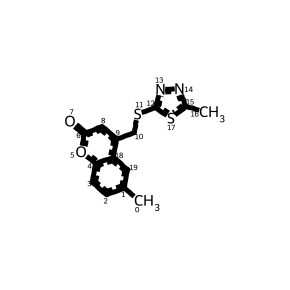 Cc1ccc2oc(=O)cc(CSc3nnc(C)s3)c2c1